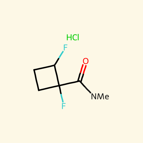 CNC(=O)C1(F)CCC1F.Cl